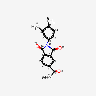 CNC(=O)c1ccc2c(c1)C(=O)N(c1ccc(C)c(C)c1)C2=O